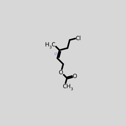 CC(=O)OC/C=C(/C)CCCl